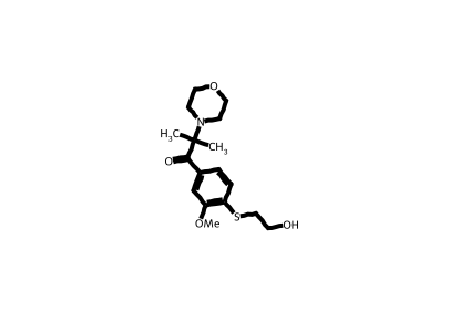 COc1cc(C(=O)C(C)(C)N2CCOCC2)ccc1SCCO